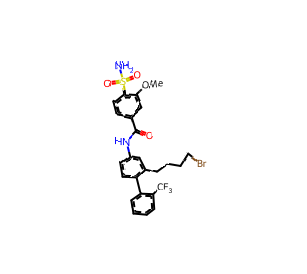 COc1cc(C(=O)Nc2ccc(-c3ccccc3C(F)(F)F)c(CCCCBr)c2)ccc1S(N)(=O)=O